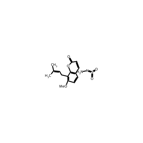 COc1ccc2ccc(=O)oc2c1CC=C(C)C.NN=S(=O)=O